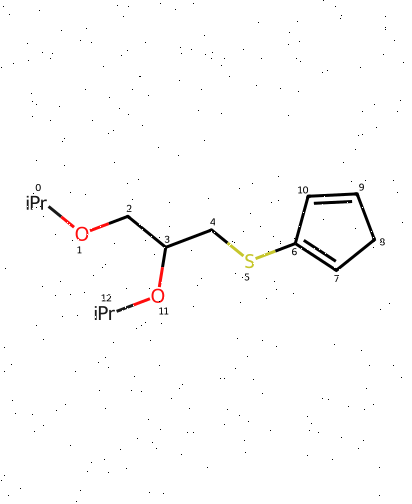 CC(C)OCC(CSC1=CCC=C1)OC(C)C